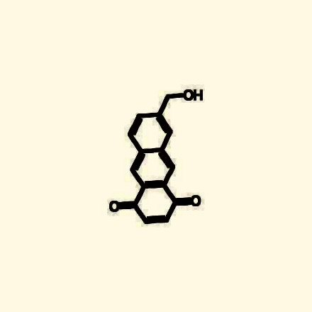 O=C1C=CC(=O)c2cc3cc(CO)ccc3cc21